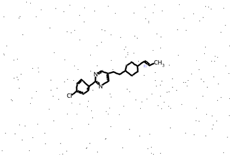 C/C=C/C1CCC(CCc2cnc(-c3ccc(Cl)cc3)nc2)CC1